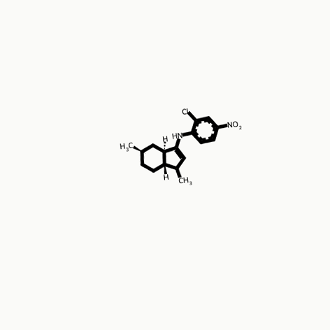 CC1C=C(Nc2ccc([N+](=O)[O-])cc2Cl)[C@@H]2C[C@H](C)CC[C@@H]12